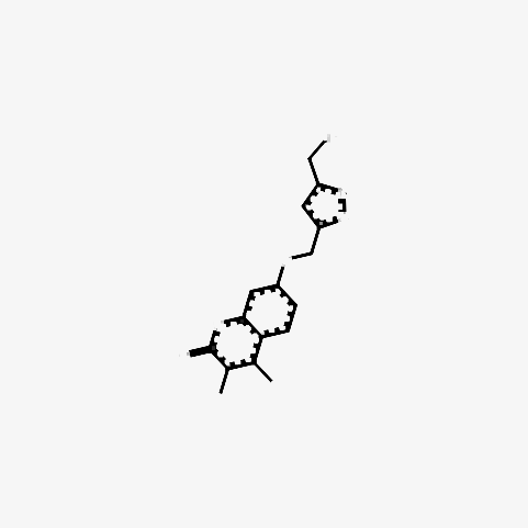 Cc1c(C)c2ccc(OCc3cc(CC(C)C)no3)cc2oc1=O